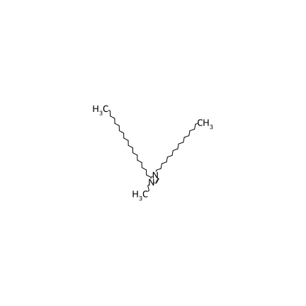 CCCCCCCCCCCCCCCCCCCC1N(CCC)C=CN1CCCCCCCCCCCCCCCC